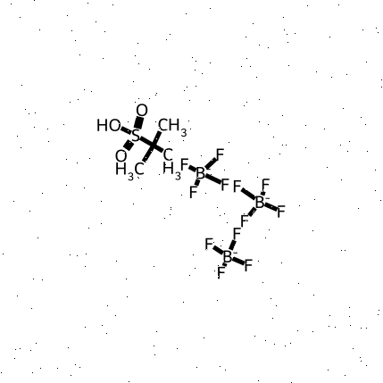 CC(C)(C)S(=O)(=O)O.F[B-](F)(F)F.F[B-](F)(F)F.F[B-](F)(F)F